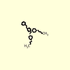 CCCCC[C@H]1CC[C@H](C2(CC[C@H]3CC[C@H](CCCC)CC3)C=CC(CCc3ccccc3)C=C2)CC1